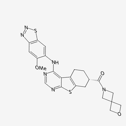 COc1cc2nnsc2cc1Nc1ncnc2sc3c(c12)CC[C@H](C(=O)N1CC2(COC2)C1)C3